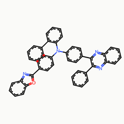 c1ccc(-c2ccccc2N(c2ccc(-c3nc4ccccc4o3)cc2)c2ccc(-c3nc4ccccc4nc3-c3ccccc3)cc2)cc1